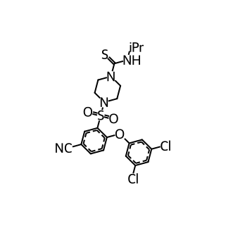 CC(C)NC(=S)N1CCN(S(=O)(=O)c2cc(C#N)ccc2Oc2cc(Cl)cc(Cl)c2)CC1